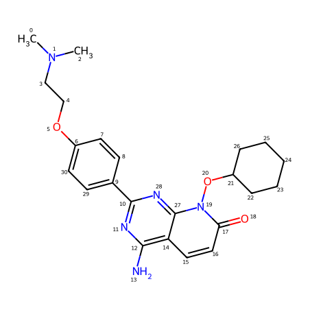 CN(C)CCOc1ccc(-c2nc(N)c3ccc(=O)n(OC4CCCCC4)c3n2)cc1